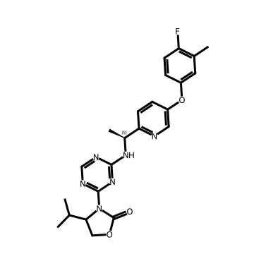 Cc1cc(Oc2ccc([C@H](C)Nc3ncnc(N4C(=O)OCC4C(C)C)n3)nc2)ccc1F